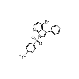 Cc1ccc(S(=O)(=O)n2cc(-c3ccccc3)c3c(Br)ccnc32)cc1